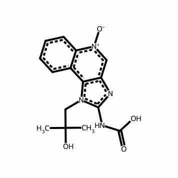 CC(C)(O)Cn1c(NC(=O)O)nc2c[n+]([O-])c3ccccc3c21